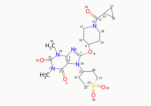 Cn1c(=O)c2c(nc(OC3CCN(C(=O)C4CC4)CC3)n2C2CCS(=O)(=O)CC2)n(C)c1=O